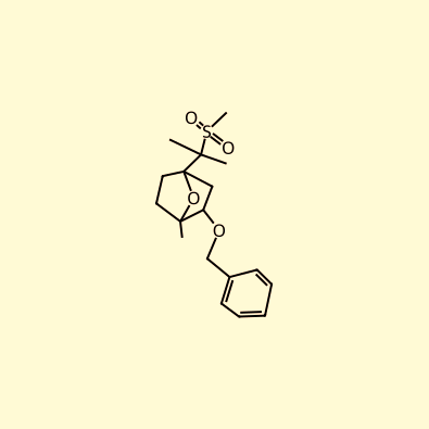 CC12CCC(C(C)(C)S(C)(=O)=O)(CC1OCc1ccccc1)O2